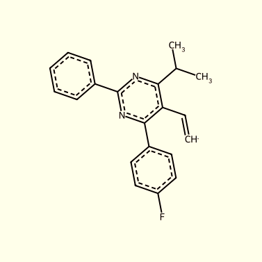 [CH]=Cc1c(-c2ccc(F)cc2)nc(-c2ccccc2)nc1C(C)C